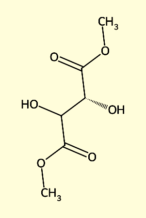 COC(=O)C(O)[C@@H](O)C(=O)OC